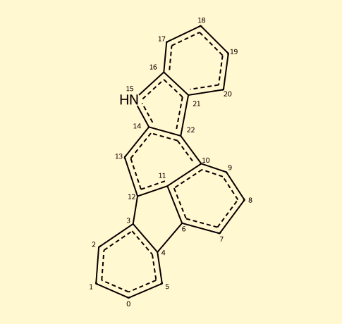 c1ccc2c(c1)-c1cccc3c1c-2cc1[nH]c2ccccc2c13